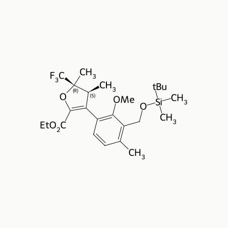 CCOC(=O)C1=C(c2ccc(C)c(CO[Si](C)(C)C(C)(C)C)c2OC)[C@H](C)[C@](C)(C(F)(F)F)O1